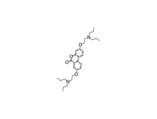 CCCN(CCC)CCOc1ccc2c(c1)oc(=O)c1cc(OCCN(CCC)CCC)ccc12